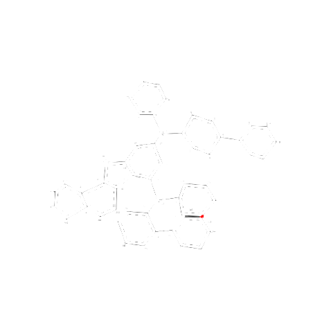 c1ccc(-c2ccc(N(c3ccccc3)c3cc(N(c4ccccc4)c4ccccc4-c4ccccc4)c4c(c3)oc3c5ccccc5ccc34)cc2)cc1